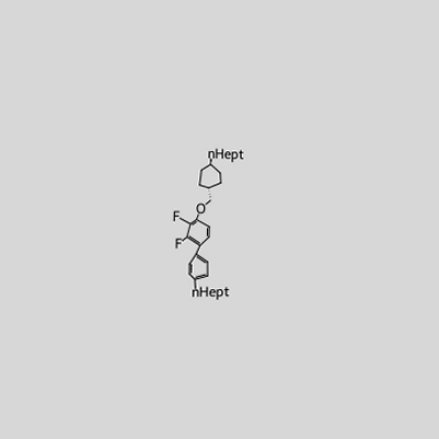 CCCCCCCc1ccc(-c2ccc(OC[C@H]3CC[C@H](CCCCCCC)CC3)c(F)c2F)cc1